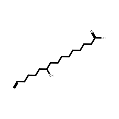 C=CCCCCC(O)CCCCCCCCC(=O)O